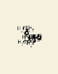 CCCC(Sc1nnc(-c2cccnc2)n1CC)C(=O)Nc1ccc(C(C)C)cc1